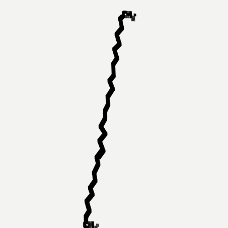 [CH2]CCCCCCCC/C=C/CCCCCCCCCCCCCCCCC[CH2]